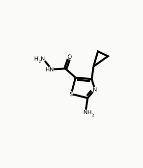 NNC(=O)c1sc(N)nc1C1CC1